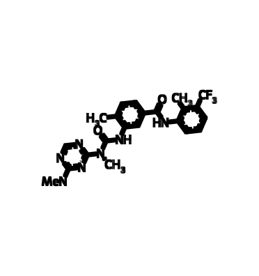 CNc1ncnc(N(C)C(=O)Nc2cc(C(=O)Nc3cccc(C(F)(F)F)c3C)ccc2C)n1